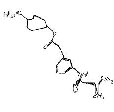 CC1CCC(OC(=O)Cc2cccc(NC(=O)N(C)C)c2)CC1